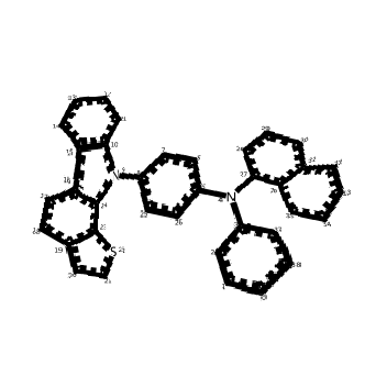 c1ccc(N(c2ccc(-n3c4ccccc4c4ccc5ccsc5c43)cc2)c2cccc3ccccc23)cc1